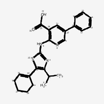 CC(C)c1nc(Nc2ncc(-c3ccccc3)cc2C(=O)O)sc1C1=CCCCC1